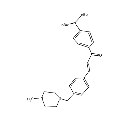 CCCCN(CCCC)c1ccc(C(=O)C=Cc2ccc(CN3CCN(C)CC3)cc2)cc1